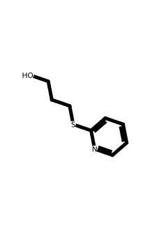 OCCCSc1ccccn1